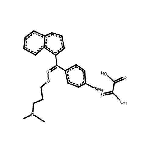 CSc1ccc(C(=NOCCCN(C)C)c2cccc3ccccc23)cc1.O=C(O)C(=O)O